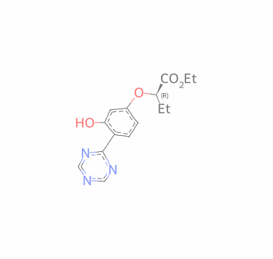 CCOC(=O)[C@@H](CC)Oc1ccc(-c2ncncn2)c(O)c1